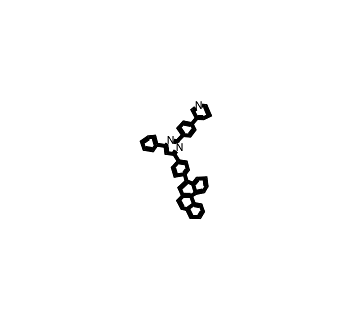 c1ccc(-c2cc(-c3ccc(-c4cc5ccc6ccccc6c5c5ccccc45)cc3)nc(-c3ccc(-c4cccnc4)cc3)n2)cc1